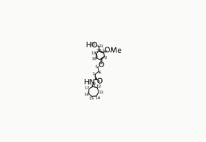 COc1cc(OCCCC(=O)NC2CCCCCC2)ccc1CO